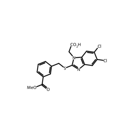 COC(=O)c1cccc(CSc2nc3cc(Cl)c(Cl)cc3n2CC(=O)O)c1